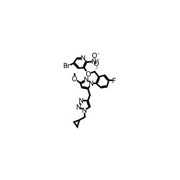 COc1cc(Cc2cn(CC3CC3)nn2)n(-c2ccc(F)cc2[C@@H](C)Oc2cc(Br)cnc2[N+](=O)[O-])n1